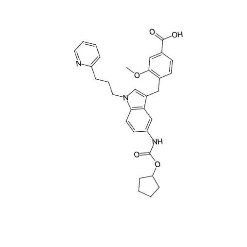 COc1cc(C(=O)O)ccc1Cc1cn(CCCc2ccccn2)c2ccc(NC(=O)OC3CCCC3)cc12